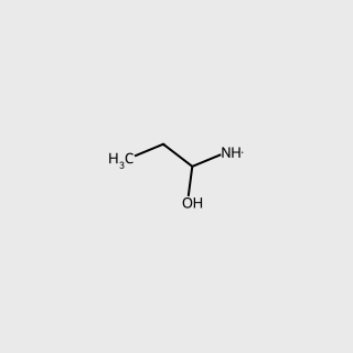 CCC([NH])O